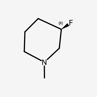 CN1CCC[C@@H](F)C1